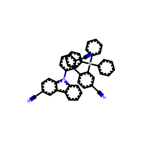 N#Cc1ccc(-c2c(C#N)cccc2-n2c3ccccc3c3cc(C#N)ccc32)c([Si](c2ccccc2)(c2ccccc2)c2ccccc2)c1